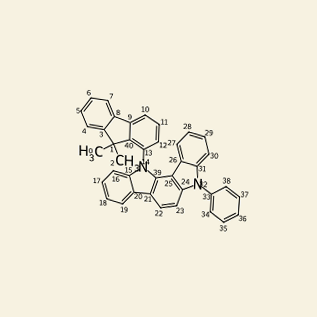 CC1(C)c2ccccc2-c2cccc(-n3c4ccccc4c4ccc5c(c6ccccc6n5-c5ccccc5)c43)c21